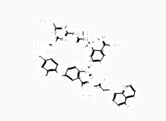 COC(=O)c1cc(Oc2ccc(Cl)cc2Cl)ccc1[N+](=O)[O-].COc1nc(C)nc(NC(=O)NS(=O)(=O)c2ccccc2C(=O)O)n1.O=C(O)COc1ccc(Cl)c2cccnc12